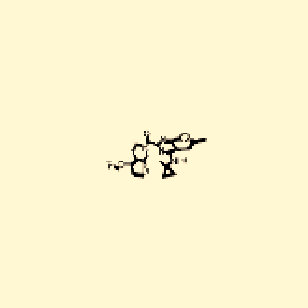 Cc1cc2c(NC3(C)CC3)nc(C(=O)N3CCc4c(OCF)ccnc4C3)nc2o1